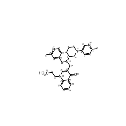 Cc1ccc(N2CCC[C@H](N(Cc3ccnc(C)c3)Cc3cn(CCC(=O)O)c4ccccc4c3=O)C2)cn1